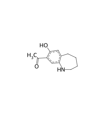 CC(=O)c1cc2c(cc1O)CCCCN2